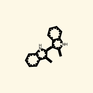 C=c1[nH]c2ccccc2/c1=c1\[nH]c2ccccc2c1=C